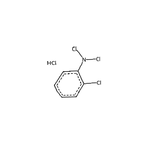 Cl.Clc1ccccc1N(Cl)Cl